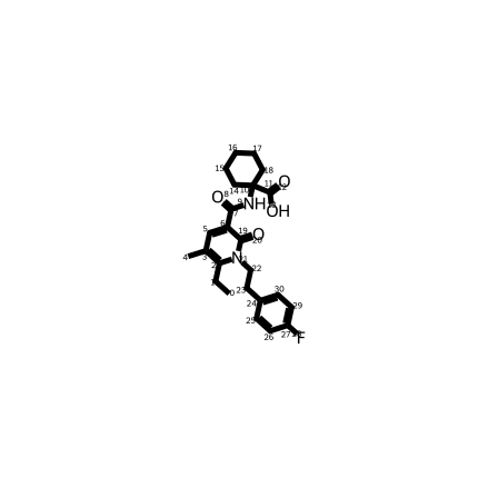 CCc1c(C)cc(C(=O)NC2(C(=O)O)CCCCC2)c(=O)n1CCc1ccc(F)cc1